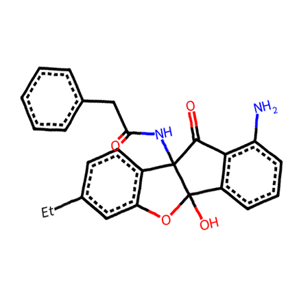 CCc1ccc2c(c1)OC1(O)c3cccc(N)c3C(=O)C21NC(=O)Cc1ccccc1